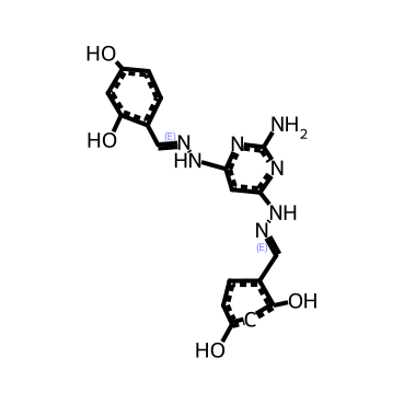 Nc1nc(N/N=C/c2ccc(O)cc2O)cc(N/N=C/c2ccc(O)cc2O)n1